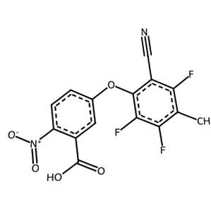 Cc1c(F)c(F)c(Oc2ccc([N+](=O)[O-])c(C(=O)O)c2)c(C#N)c1F